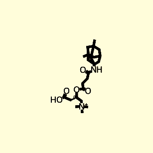 CC12CC3CC(C)(C1)CC(NC(=O)CCC(=O)O[C@H](CC(=O)O)C[N+](C)(C)C)(C3)C2